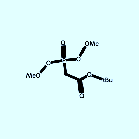 COOP(=O)(CC(=O)OC(C)(C)C)OOC